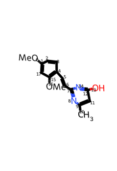 COc1ccc(C=Cc2nc(C)cc(O)n2)c(OC)c1